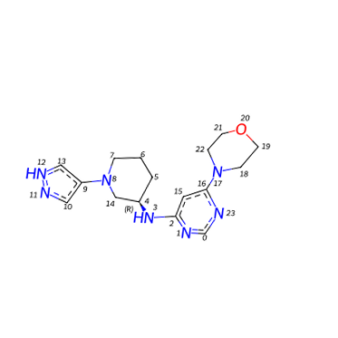 c1nc(N[C@@H]2CCCN(c3cn[nH]c3)C2)cc(N2CCOCC2)n1